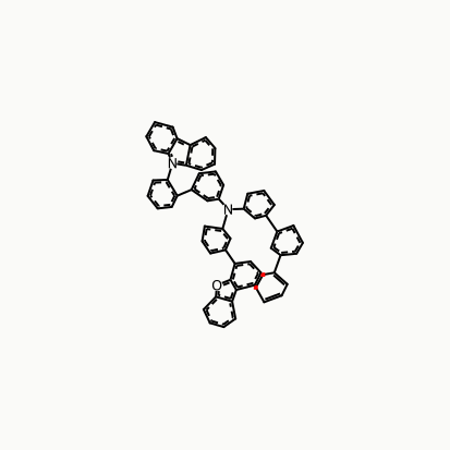 C1=CCCC(c2cccc(-c3cccc(N(c4cccc(-c5ccccc5-n5c6ccccc6c6ccccc65)c4)c4cccc(-c5cccc6c5oc5ccccc56)c4)c3)c2)=C1